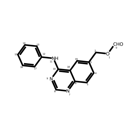 O=COCc1ccc2ncnc(Nc3ccccc3)c2c1